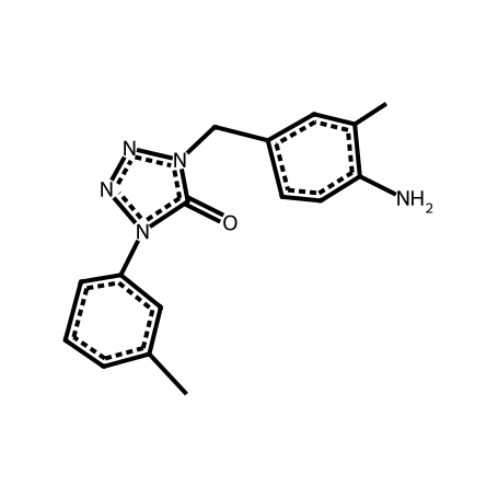 Cc1cccc(-n2nnn(Cc3ccc(N)c(C)c3)c2=O)c1